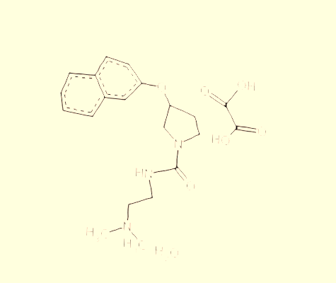 CN(C)CCNC(=O)N1CCC(Oc2ccc3ccccc3c2)C1.O.O=C(O)C(=O)O